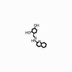 Oc1ccc(C=NNc2ccc3ccccc3n2)c(O)c1